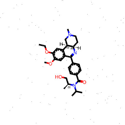 CCOc1cc2c(cc1OC)C(c1ccc(C(=O)N(C(C)C)[C@@H](C)CO)cc1)=N[C@@H]1CCN(C)C[C@H]21